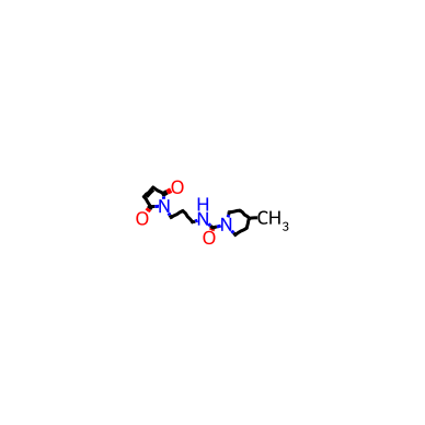 CC1CCN(C(=O)NCCCN2C(=O)C=CC2=O)CC1